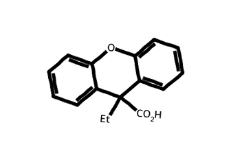 CCC1(C(=O)O)c2ccccc2Oc2ccccc21